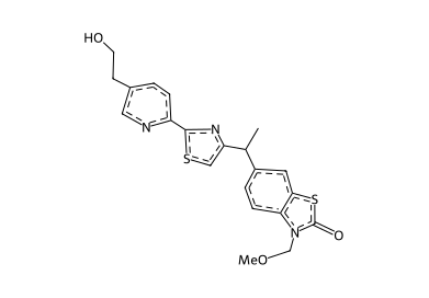 COCn1c(=O)sc2cc(C(C)c3csc(-c4ccc(CCO)cn4)n3)ccc21